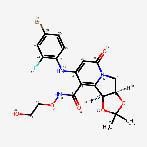 CC1(C)O[C@@H]2Cn3c(c(C(=O)NOCCO)c(Nc4ccc(Br)cc4F)cc3=O)[C@@H]2O1